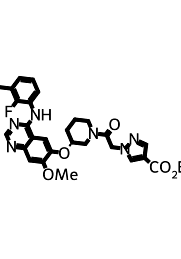 CCOC(=O)c1cnn(CC(=O)N2CCC[C@@H](Oc3cc4c(Nc5cccc(Cl)c5F)ncnc4cc3OC)C2)c1